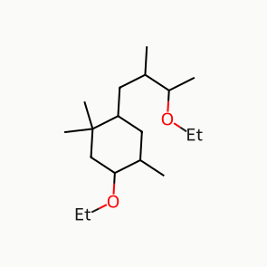 CCOC(C)C(C)CC1CC(C)C(OCC)CC1(C)C